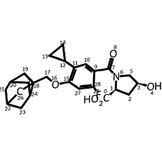 O=C(O)[C@@H]1C[C@H](O)CN1C(=O)c1cc(C2CC2)c(OCC23CC4CC(CC2C4)C3)cc1F